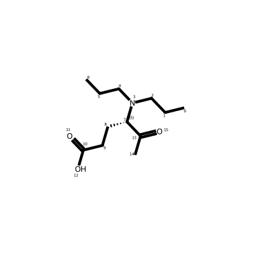 CCCN(CCC)[C@@H](CCC(=O)O)C(C)=O